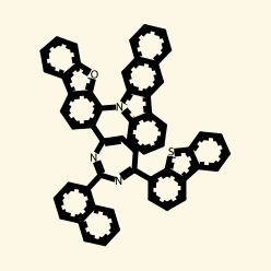 C1=C(c2ccc3c(oc4ccccc43)c2-n2c3ccccc3c3cc4ccccc4cc32)N=C(c2cccc3ccccc23)N=C(c2cccc3c2sc2ccccc23)C1